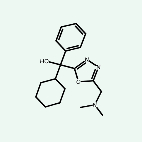 CN(C)Cc1nnc(C(O)(c2ccccc2)C2CCCCC2)o1